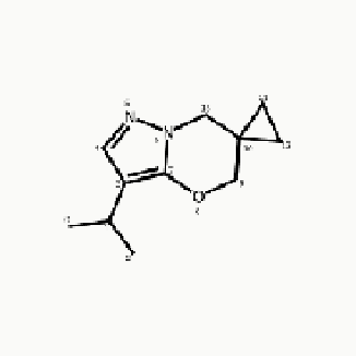 CC(C)c1cnn2c1OCC1(CC1)C2